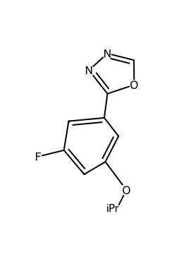 CC(C)Oc1cc(F)cc(-c2nnco2)c1